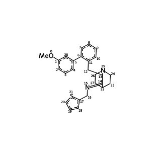 COc1cccc(-c2ccccc2CC2C(=NCc3cccs3)C3CCN2CC3)c1